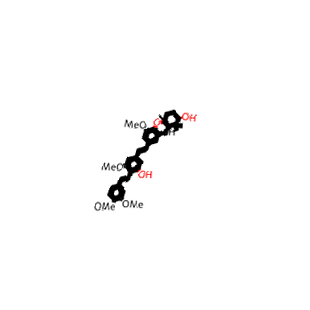 COc1ccc(/C=C/c2c(O)cc(/C=C/c3cc4c(c(OC)c3)O[C@]3(C)CC[C@@H](O)C(C)(C)[C@H]3C4)cc2OC)cc1OC